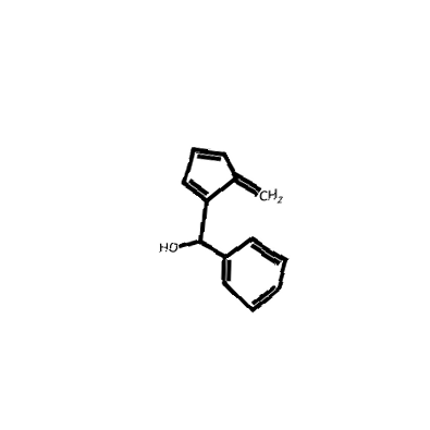 C=C1C=CC=C1C(O)c1ccccc1